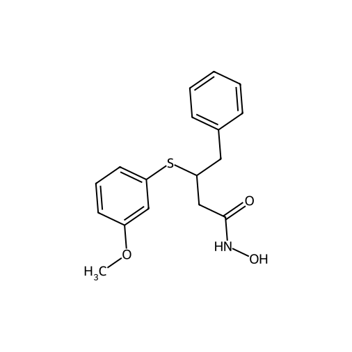 COc1cccc(SC(CC(=O)NO)Cc2ccccc2)c1